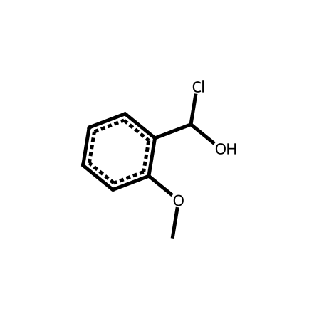 COc1ccccc1C(O)Cl